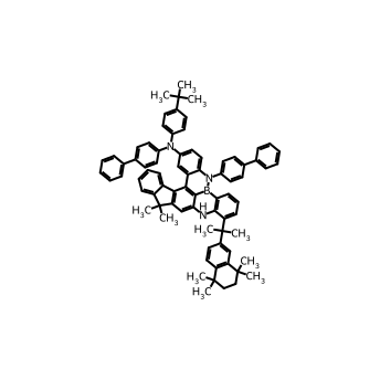 CC(C)(C)c1ccc(N(c2ccc(-c3ccccc3)cc2)c2ccc3c(c2)-c2c4c(cc5c2-c2ccccc2C5(C)C)Nc2c(cccc2C(C)(C)c2ccc5c(c2)C(C)(C)CCC5(C)C)B4N3c2ccc(-c3ccccc3)cc2)cc1